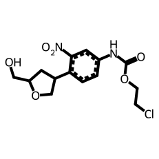 O=C(Nc1ccc(C2COC(CO)C2)c([N+](=O)[O-])c1)OCCCl